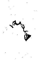 CC(CC1CCN1C(C)C)N1CCC(CC(C)N2CC3CC(C2)O3)C1